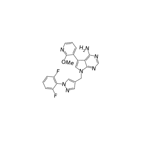 COc1ncccc1-c1cn(Cc2cnn(-c3c(F)cccc3F)c2)c2ncnc(N)c12